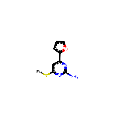 CCSc1cc(-c2ccco2)nc(N)n1